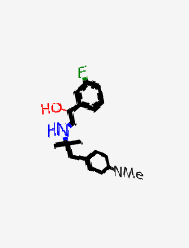 CNC1CCC(CC(C)(C)NC[C@H](O)c2cccc(F)c2)CC1